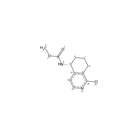 COC(=O)N[C@@H]1CCCc2c1ccnc2Cl